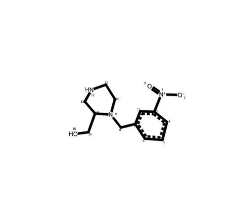 O=[N+]([O-])c1cccc(CN2CCNCC2CO)c1